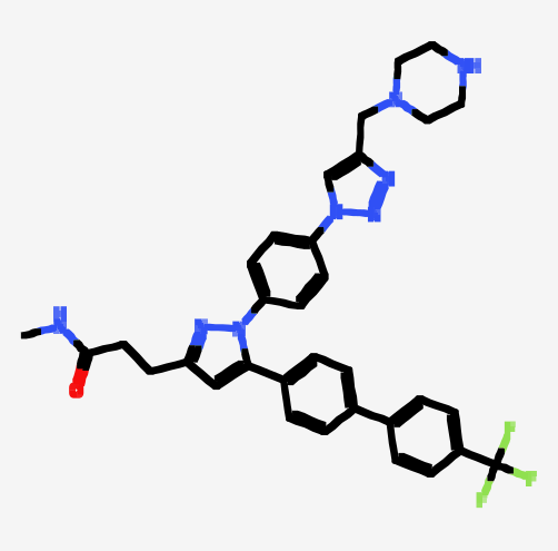 CNC(=O)CCc1cc(-c2ccc(-c3ccc(C(F)(F)F)cc3)cc2)n(-c2ccc(-n3cc(CN4CCNCC4)nn3)cc2)n1